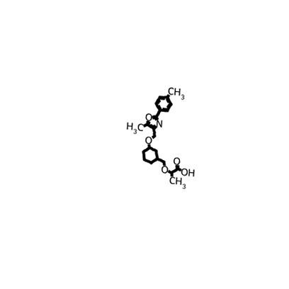 Cc1ccc(-c2nc(COC3CCCC(COC(C)C(=O)O)C3)c(C)o2)cc1